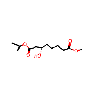 COC(=O)CCCC[C@H](O)CC(=O)OC(C)C